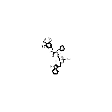 COc1cc(CN(C)C(=O)[C@H](Cc2ccccc2)NCCN[C@H](CC(=O)O)Cc2c[nH]c3ccccc23)cc(OC)c1OC